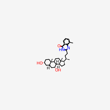 Cc1cccc2c(=O)[nH]c(CC[C@@H](C)[C@H]3CC[C@H]4[C@H]5C(CC[C@]34C)[C@@]3(C)CC[C@@H](O)C[C@H]3C[C@H]5O)nc12